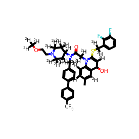 [2H]C1=C(SC([2H])([2H])c2cccc(F)c2F)N(C([2H])([2H])C(=O)N(C([2H])([2H])c2ccc(-c3ccc(C(F)(F)F)cc3)cc2)C2([2H])C([2H])([2H])C([2H])([2H])N(CCOC([2H])([2H])[2H])C([2H])([2H])C2([2H])[2H])c2c([2H])c([2H])c(C)c([2H])c2C1O